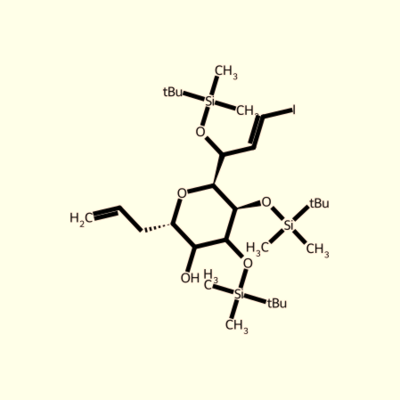 C=CC[C@@H]1O[C@@H](C(/C=C/I)O[Si](C)(C)C(C)(C)C)[C@@H](O[Si](C)(C)C(C)(C)C)C(O[Si](C)(C)C(C)(C)C)C1O